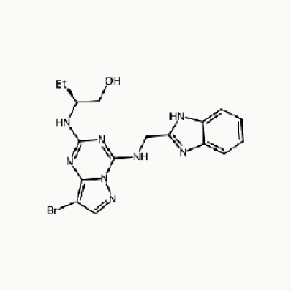 CC[C@@H](CO)Nc1nc(NCc2nc3ccccc3[nH]2)n2ncc(Br)c2n1